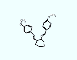 COc1ccc(C=NC2CCCCC2N=Cc2ccc(OC)cc2)cc1